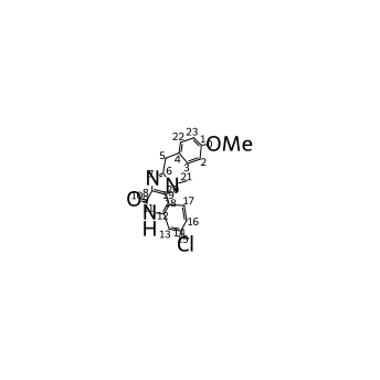 COc1ccc(Cc2nc3c(=O)[nH]c4cc(Cl)ccc4c3n2C)cc1